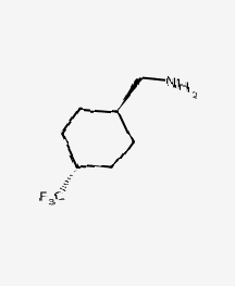 NC[C@H]1CC[C@H](C(F)(F)F)CC1